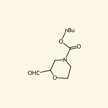 CCCCOC(=O)N1CCOC([C]=O)C1